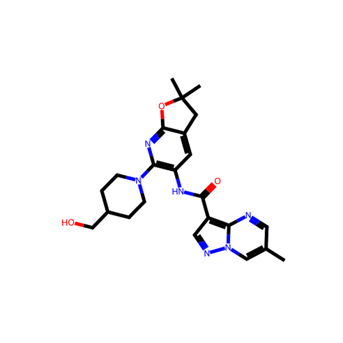 Cc1cnc2c(C(=O)Nc3cc4c(nc3N3CCC(CO)CC3)OC(C)(C)C4)cnn2c1